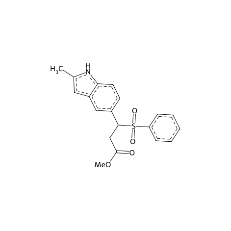 COC(=O)CC(c1ccc2[nH]c(C)cc2c1)S(=O)(=O)c1ccccc1